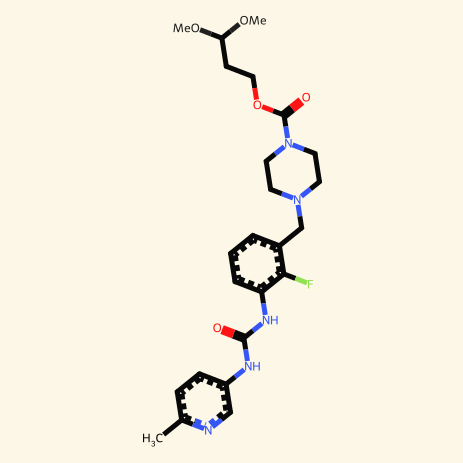 COC(CCOC(=O)N1CCN(Cc2cccc(NC(=O)Nc3ccc(C)nc3)c2F)CC1)OC